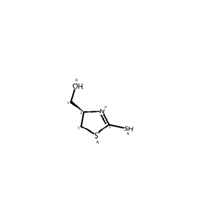 OC[C@@H]1CSC(S)=N1